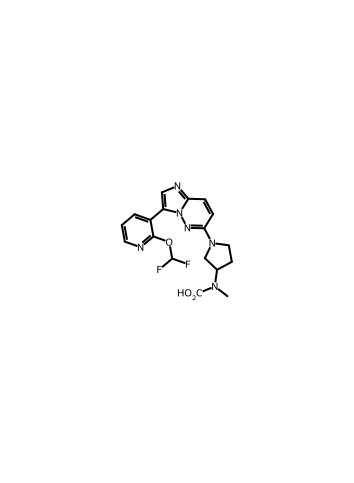 CN(C(=O)O)C1CCN(c2ccc3ncc(-c4cccnc4OC(F)F)n3n2)C1